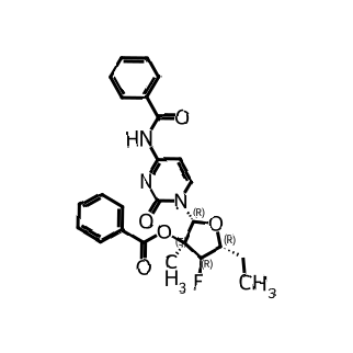 CC[C@H]1O[C@@H](n2ccc(NC(=O)c3ccccc3)nc2=O)[C@](C)(OC(=O)c2ccccc2)[C@@H]1F